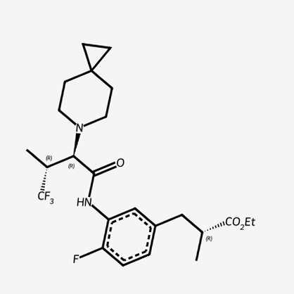 CCOC(=O)[C@H](C)Cc1ccc(F)c(NC(=O)[C@@H]([C@@H](C)C(F)(F)F)N2CCC3(CC2)CC3)c1